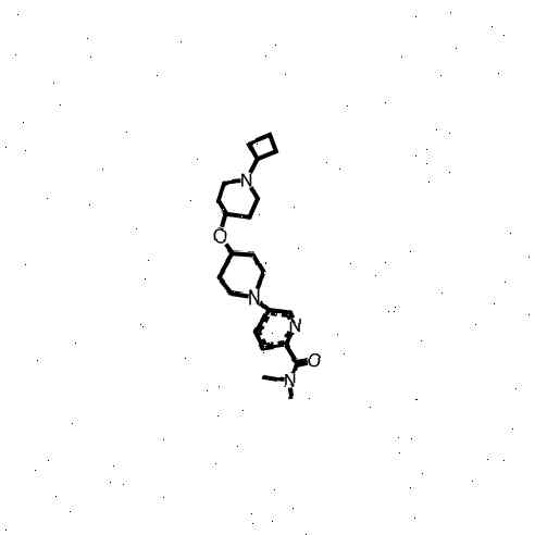 CN(C)C(=O)c1ccc(N2CCC(OC3CCN(C4CCC4)CC3)CC2)cn1